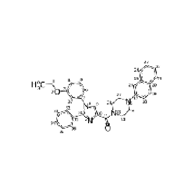 CCOc1cccc(-n2cc(C(=O)N3CCN(c4ccc5ccccc5c4)CC3)nc2-c2ccccc2)c1